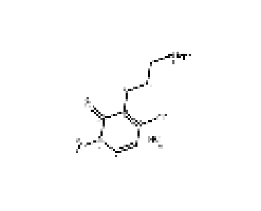 CCCCCCCCCCc1c(Cl)ccn(C)c1=O.Cl